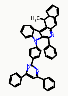 CC1c2c(nc(-c3ccccc3)c3c2c2ccccc2n3-c2ccc(-c3nc(-c4ccccc4)cc(-c4ccccc4)n3)cc2)C=C2C=CC=CC21